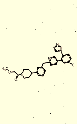 COCC(=O)N1CCC(c2cccc(Cc3ccc(-c4cc(Cl)ccc4-n4cnnn4)cn3)c2)CC1